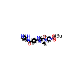 CC(C)(C)OC(=O)N1CCC(N(C(=O)c2cnc(-c3ccc(C(=O)NCc4ccncc4)cc3)nc2)C2CC2)CC1